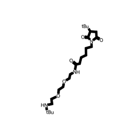 CC(C)(C)NCCOCCOCCNC(=O)CCCCCN1C(=O)CC(C(C)(C)C)C1=O